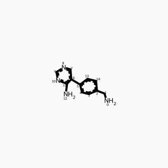 NCc1ccc(-c2cncnc2N)cc1